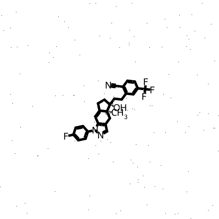 C[C@]12Cc3cnn(-c4ccc(F)cc4)c3C=C1CC[C@@]2(O)CCc1cc(C(F)(F)F)ccc1C#N